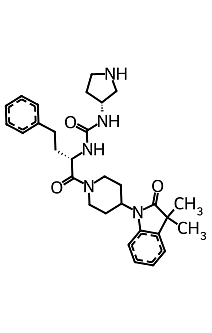 CC1(C)C(=O)N(C2CCN(C(=O)[C@H](CCc3ccccc3)NC(=O)N[C@@H]3CCNC3)CC2)c2ccccc21